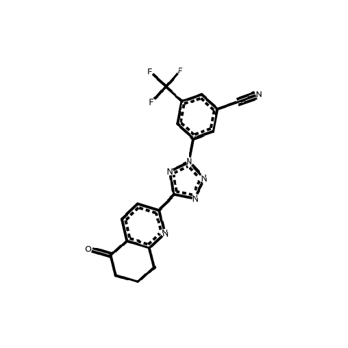 N#Cc1cc(-n2nnc(-c3ccc4c(n3)CCCC4=O)n2)cc(C(F)(F)F)c1